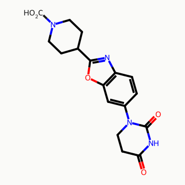 O=C1CCN(c2ccc3nc(C4CCN(C(=O)O)CC4)oc3c2)C(=O)N1